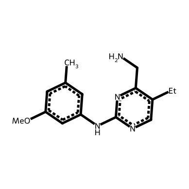 CCc1cnc(Nc2cc(C)cc(OC)c2)nc1CN